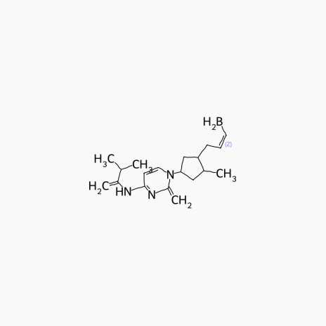 B/C=C\CC1CC(N2C=CC(NC(=C)C(C)C)=NC2=C)CC1C